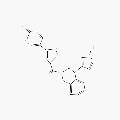 Cn1cc(C2CN(C(=O)c3cc(-c4ccc(=O)[nH]c4)on3)Cc3ccccc32)cn1